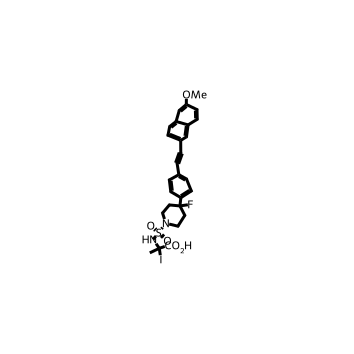 COc1ccc2cc(C#Cc3ccc(C4(F)CCN(S(=O)(=O)NC(C)(I)C(=O)O)CC4)cc3)ccc2c1